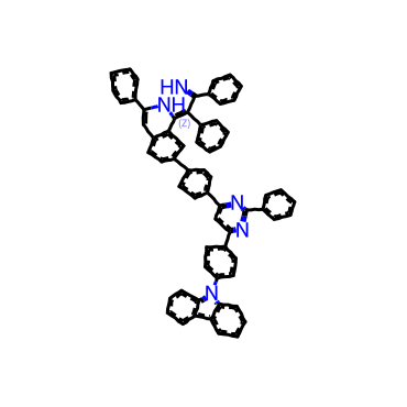 N=C(/C(=C1\NC(c2ccccc2)=Cc2ccc(-c3ccc(-c4cc(-c5ccc(-n6c7ccccc7c7ccccc76)cc5)nc(-c5ccccc5)n4)cc3)cc21)c1ccccc1)c1ccccc1